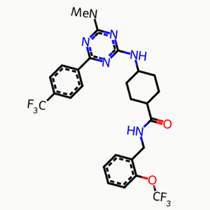 CNc1nc(NC2CCC(C(=O)NCc3ccccc3OC(F)(F)F)CC2)nc(-c2ccc(C(F)(F)F)cc2)n1